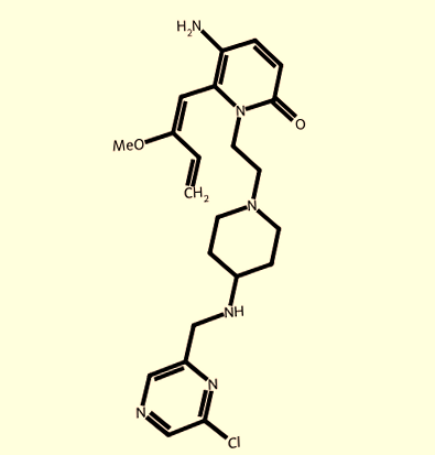 C=C/C(=C\c1c(N)ccc(=O)n1CCN1CCC(NCc2cncc(Cl)n2)CC1)OC